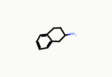 NC1CCc2c[c]ccc2C1